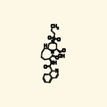 CCCS(=O)(=O)N1C[C@@H]2CCCC[C@H](NC(=O)c3nccc4ccccc34)C(=O)N2[C@H](C(=O)O)C1